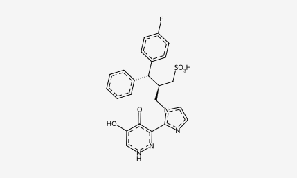 O=c1c(O)c[nH]nc1-c1nccn1C[C@H](CS(=O)(=O)O)[C@H](c1ccccc1)c1ccc(F)cc1